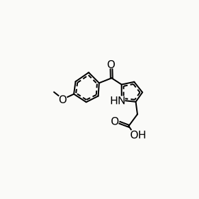 COc1ccc(C(=O)c2ccc(CC(=O)O)[nH]2)cc1